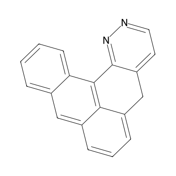 c1ccc2c3c4c(cccc4cc2c1)Cc1ccnnc1-3